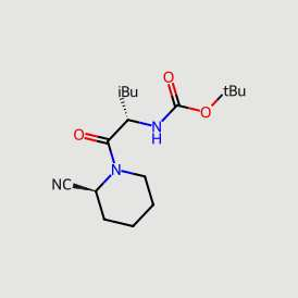 CCC(C)[C@H](NC(=O)OC(C)(C)C)C(=O)N1CCCC[C@H]1C#N